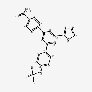 NC(=O)c1ccc(-c2cc(-c3ccc(OC(F)(F)F)cc3)nc(-c3ccco3)c2)cc1